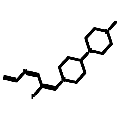 C=C/N=C\C(F)=C/N1CCC(N2CCN(C)CC2)CC1